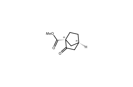 COC(=O)[C@@]12CC[C@@H](CC1=O)C2